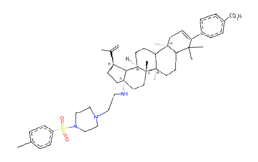 C=C(C)[C@@H]1CC[C@]2(NCCN3CCN(S(=O)(=O)c4ccc(C)cc4)CC3)CC[C@]3(C)[C@H](CCC4[C@@]5(C)CC=C(c6ccc(C(=O)O)cc6)C(C)(C)C5CC[C@]43C)C12